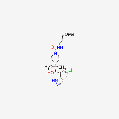 COCCCNC(=O)N1CCC(C(C)(C)C(O)c2cc(Cl)cc3cn[nH]c23)CC1